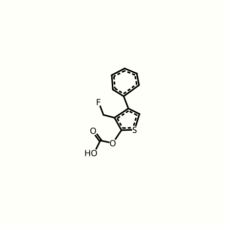 O=C(O)Oc1scc(-c2ccccc2)c1CF